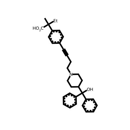 CCC(C)(C(=O)O)c1ccc(C#CCCN2CCC(C(O)(c3ccccc3)c3ccccc3)CC2)cc1